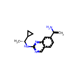 C=C(N)c1ccc2cnc(N[C@H](C)C3CC3)nc2c1